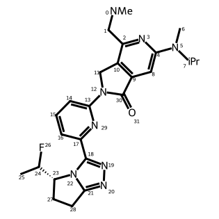 CNCc1nc(N(C)C(C)C)cc2c1CN(c1cccc(-c3nnc4n3[C@@H](C(C)F)CC4)n1)C2=O